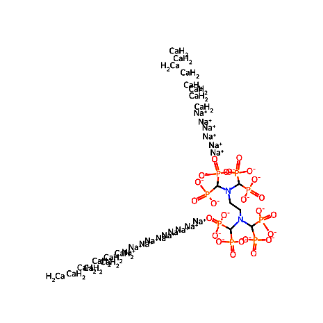 O=P([O-])([O-])C(N(CCN(C(P(=O)([O-])[O-])P(=O)([O-])[O-])C(P(=O)([O-])[O-])P(=O)([O-])[O-])C(P(=O)([O-])[O-])P(=O)([O-])[O-])P(=O)([O-])[O-].[CaH2].[CaH2].[CaH2].[CaH2].[CaH2].[CaH2].[CaH2].[CaH2].[CaH2].[CaH2].[CaH2].[CaH2].[CaH2].[CaH2].[CaH2].[CaH2].[Na+].[Na+].[Na+].[Na+].[Na+].[Na+].[Na+].[Na+].[Na+].[Na+].[Na+].[Na+].[Na+].[Na+].[Na+].[Na+]